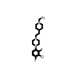 CC(=O)CN1CCC(CCN2CCN(c3ccc(F)c(Cl)c3F)CC2)CC1